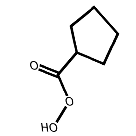 O=C(OO)C1CCCC1